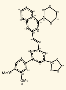 COc1ccc(-c2cc(N3CCCC3)nc(/C=C/c3nc(N4CCCCC4)c4ccccc4n3)n2)cc1OC